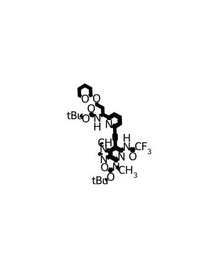 CN(C(=O)OC(C)(C)C)c1nc(NC(=O)C(F)(F)F)c(C#Cc2cccc(C(CCO[C@H]3CCCCO3)NC(=O)OC(C)(C)C)n2)c2c1ncn2C